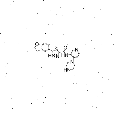 O=C(Nc1cnccc1N1CCNCC1)C1=NNC(c2ccc3c(c2)CCO3)S1